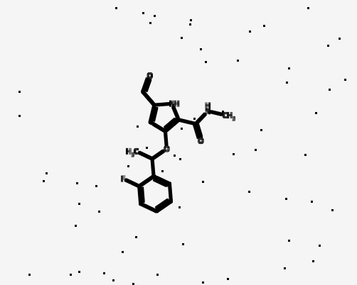 CNC(=O)c1[nH]c(C=O)cc1OC(C)c1ccccc1F